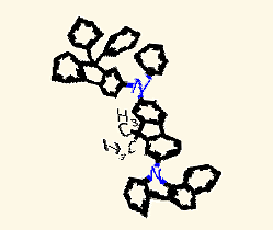 CC1(C)c2cc(N(c3ccccc3)c3ccc4c(c3)C(c3ccccc3)(c3ccccc3)c3ccccc3-4)ccc2-c2ccc(-n3c4ccccc4c4ccc5ccccc5c43)cc21